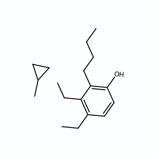 CC1CC1.CCCCc1c(O)ccc(CC)c1CC